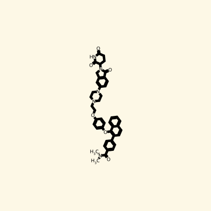 CN(C)C(=O)c1ccc(-c2ccc3ccccc3c2Oc2ccc(OCCN3CCN(c4ccc5c(c4)CN(C4CCC(=O)NC4=O)C5=O)CC3)cc2)cc1